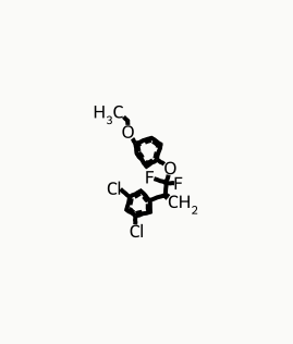 C=C(c1cc(Cl)cc(Cl)c1)C(F)(F)Oc1ccc(OCC)cc1